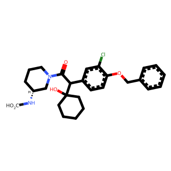 O=C(O)N[C@@H]1CCCN(C(=O)C(c2ccc(OCc3ccccc3)c(Cl)c2)C2(O)CCCCC2)C1